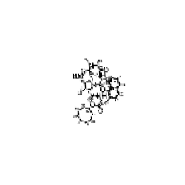 C[C@@H](C(=O)N[C@H](C(=O)N1CCC(I)[C@H]1C(=O)N[C@@H](Cc1ccc2ccccc2c1)C(=O)OC1CCCCCCC1)C(C)(C)C)N(C)C(=O)OC(C)(C)C